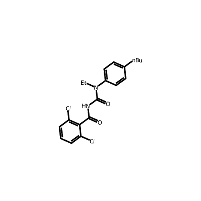 CCCCc1ccc(N(CC)C(=O)NC(=O)c2c(Cl)cccc2Cl)cc1